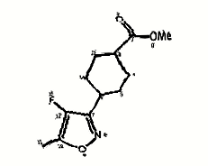 COC(=O)C1CCC(c2noc(C)c2F)CC1